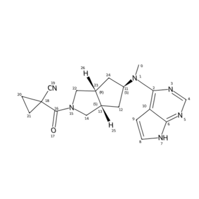 CN(c1ncnc2[nH]ccc12)[C@H]1C[C@@H]2CN(C(=O)C3(C#N)CC3)C[C@@H]2C1